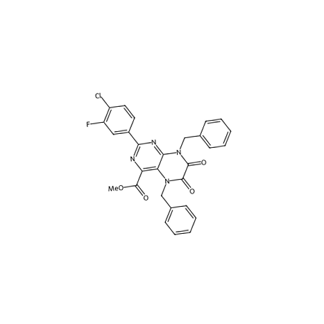 COC(=O)c1nc(-c2ccc(Cl)c(F)c2)nc2c1n(Cc1ccccc1)c(=O)c(=O)n2Cc1ccccc1